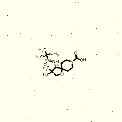 CC1(C)COC2(CCN(C(=O)O)CC2)[C@H]1N[S@+]([O-])C(C)(C)C